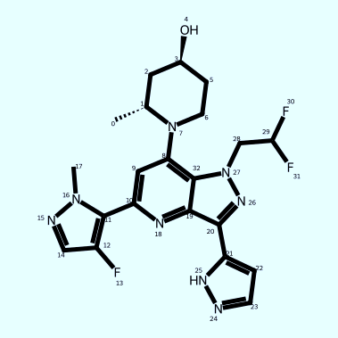 C[C@@H]1C[C@@H](O)CCN1c1cc(-c2c(F)cnn2C)nc2c(-c3ccn[nH]3)nn(CC(F)F)c12